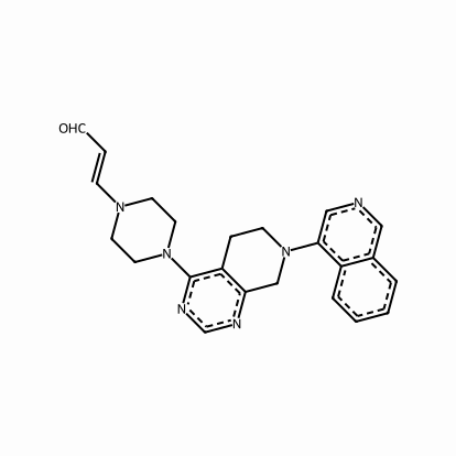 O=CC=CN1CCN(c2ncnc3c2CCN(c2cncc4ccccc24)C3)CC1